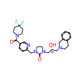 O=C(c1ccc(CN2CCN(C[C@H](O)CN3CCc4ccccc4C3)C2=O)nc1)N1CCC(F)(F)CC1